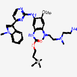 COc1cc(N(C)CCN(C)CCN)c(NC(=O)OCC[Si](C)(C)C)cc1Nc1nccc(-c2cn(C)c3ccccc23)n1